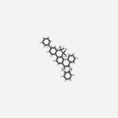 CC1(C)c2cc(-c3ccccc3)ccc2-c2ccc(-c3nc4ccccc4nc3-c3ccccc3)cc2C1(C)C